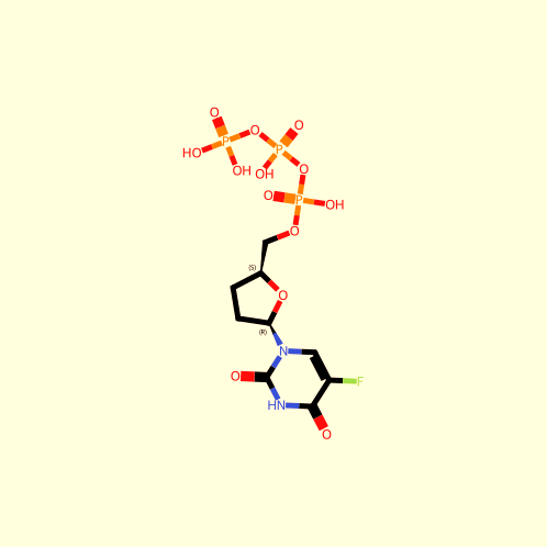 O=c1[nH]c(=O)n([C@H]2CC[C@@H](COP(=O)(O)OP(=O)(O)OP(=O)(O)O)O2)cc1F